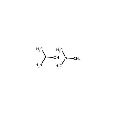 CC(N)O.CN(C)C